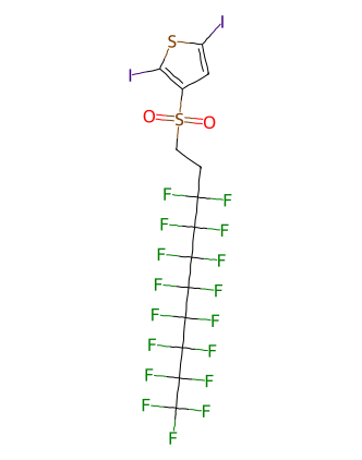 O=S(=O)(CCC(F)(F)C(F)(F)C(F)(F)C(F)(F)C(F)(F)C(F)(F)C(F)(F)C(F)(F)F)c1cc(I)sc1I